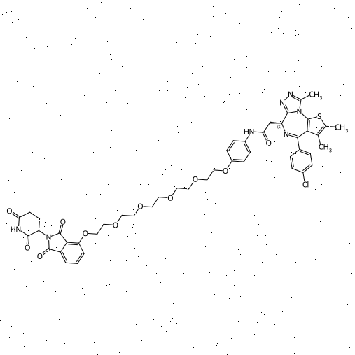 Cc1sc2c(c1C)C(c1ccc(Cl)cc1)=N[C@@H](CC(=O)Nc1ccc(OCCOCCOCCOCCOCCOc3cccc4c3C(=O)N(C3CCC(=O)NC3=O)C4=O)cc1)c1nnc(C)n1-2